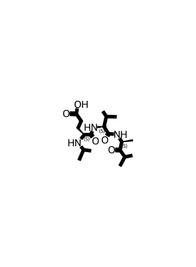 CC(C)N[C@@H](CCC(=O)O)C(=O)N[C@H](C(=O)N[C@@H](C)C(=O)C(C)C)C(C)C